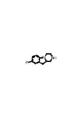 Clc1ccc2c(c1)CC1CNCCN21